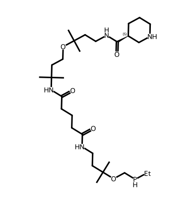 CCPCOC(C)(C)CCNC(=O)CCCC(=O)NC(C)(C)CCOC(C)(C)CCNC(=O)[C@H]1CCCNC1